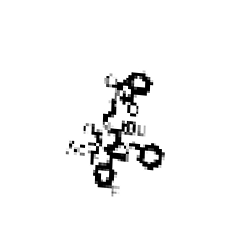 CC(=O)OCC(=O)N(CCCN1C(=O)c2ccccc2C1=O)C(c1cc(-c2cc(F)ccc2F)cn1Cc1ccccc1)C(C)(C)C